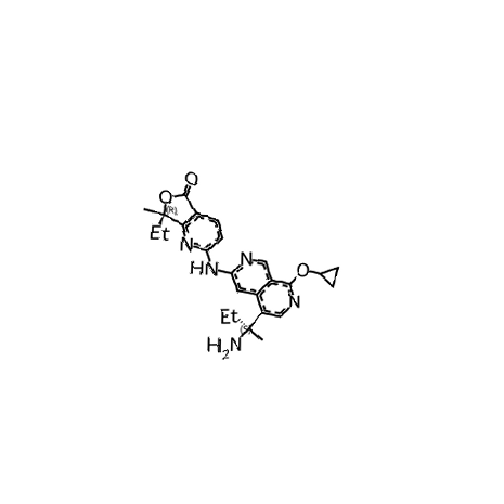 CC[C@](C)(N)c1cnc(OC2CC2)c2cnc(Nc3ccc4c(n3)[C@@](C)(CC)OC4=O)cc12